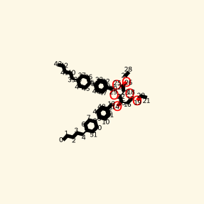 CCCCC[C@H]1CC[C@H](c2ccc(CO[C@H](CC(=O)OCC)[C@@H](CC(=O)OCC)OCc3ccc([C@H]4CC[C@H](CCCCC)CC4)cc3)cc2)CC1